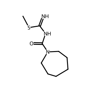 CSC(=N)NC(=O)N1CCCCCC1